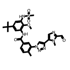 COc1c(NC(=O)c2ccc(C)c(-n3cc(-c4cnc(C=O)n4C)nn3)c2)cc(C(C)(C)C)cc1NS(C)(=O)=O